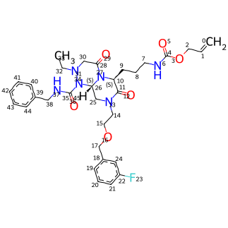 C=CCOC(=O)NCCC[C@H]1C(=O)N(CCOCc2cccc(F)c2)C[C@H]2N1C(=O)CN(CC)N2C(=O)NCc1ccccc1